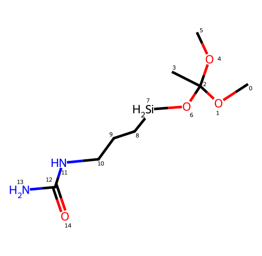 COC(C)(OC)O[SiH2]CCCNC(N)=O